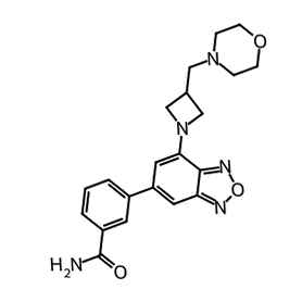 NC(=O)c1cccc(-c2cc(N3CC(CN4CCOCC4)C3)c3nonc3c2)c1